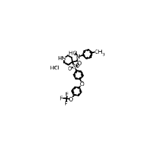 Cc1ccc(N(O)C(=O)C2(S(=O)(=O)c3ccc(Oc4ccc(OC(F)(F)F)cc4)cc3)CCNCC2)cc1.Cl